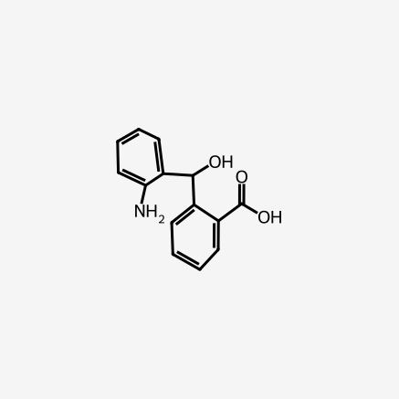 Nc1ccccc1C(O)c1ccccc1C(=O)O